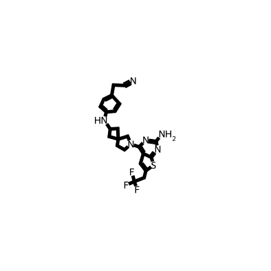 N#CCc1ccc(NC2CC3(CCN(c4nc(N)nc5sc(CC(F)(F)F)cc45)C3)C2)cc1